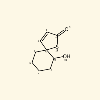 O=C1C=CC2(CCCCC2O)S1